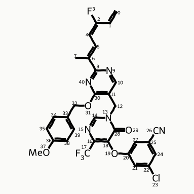 C=C/C(F)=C\C=C(/C)c1ncc(Cn2cnc(C(F)(F)F)c(Oc3cc(Cl)cc(C#N)c3)c2=O)c(OCc2ccc(OC)cc2)n1